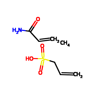 C.C=CC(N)=O.C=CCS(=O)(=O)O